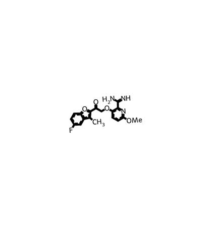 COc1ccc(OCC(=O)c2oc3ccc(F)cc3c2C)c(C(=N)N)n1